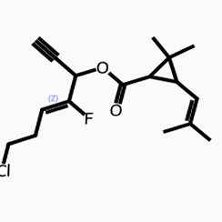 C#CC(OC(=O)C1C(C=C(C)C)C1(C)C)/C(F)=C/CCCl